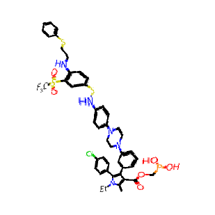 CCn1c(C)c(C(=O)OCP(O)O)c(-c2cccc(N3CCN(c4ccc(NSc5ccc(NCCSc6ccccc6)c(S(=O)(=O)C(F)(F)F)c5)cc4)CC3)c2)c1-c1ccc(Cl)cc1